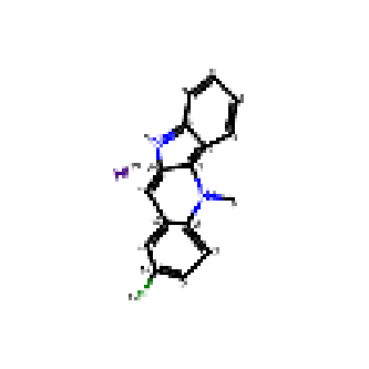 Cn1c2c3ccccc3nc-2cc2cc(F)ccc21.I